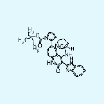 CC(C)(C)OC(=O)n1cccc1-c1ccc2[nH]c(=O)c(-c3nc4ccccc4[nH]3)c(N[C@H]3CN4CCC3CC4)c2c1